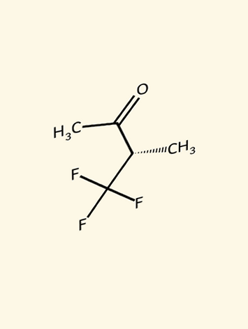 CC(=O)[C@H](C)C(F)(F)F